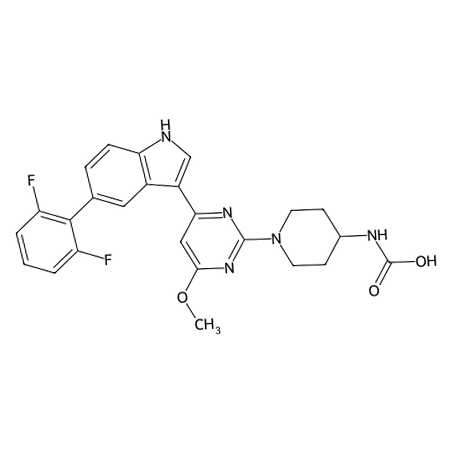 COc1cc(-c2c[nH]c3ccc(-c4c(F)cccc4F)cc23)nc(N2CCC(NC(=O)O)CC2)n1